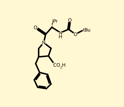 CC(C)[C@H](NC(=O)OC(C)(C)C)C(=O)N1CC(Cc2ccccc2)C(C(=O)O)C1